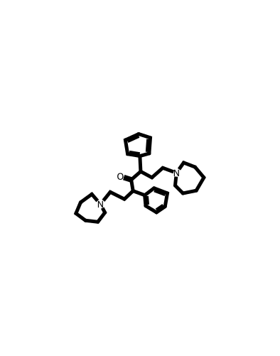 O=C(C(CCN1CCCCCC1)c1ccccc1)C(CCN1CCCCCC1)c1ccccc1